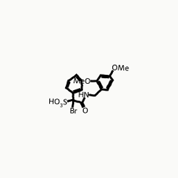 COc1ccc(CNC(=O)C(Br)(c2ccccc2)S(=O)(=O)O)c(OC)c1